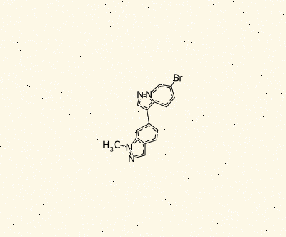 Cn1ncc2ccc(-c3cnn4cc(Br)ccc34)cc21